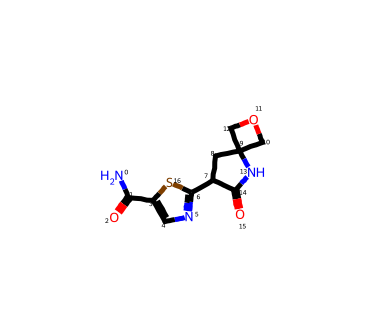 NC(=O)c1cnc(C2CC3(COC3)NC2=O)s1